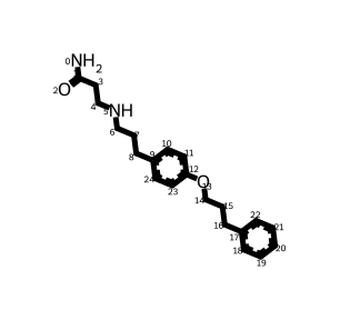 NC(=O)CCNCCCc1ccc(OCCCc2ccccc2)cc1